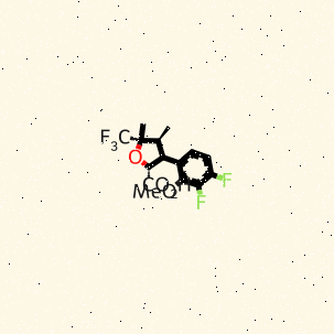 COc1c(C2[C@H](C(=O)O)O[C@@](C)(C(F)(F)F)[C@H]2C)ccc(F)c1F